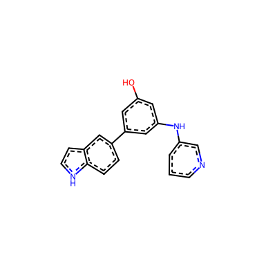 Oc1cc(Nc2cccnc2)cc(-c2ccc3[nH]ccc3c2)c1